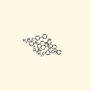 Cc1ccc(C)c(N(c2cc(-c3ccccc3)ccc2C)c2cc(C(C)C)c3ccc4c(N(c5cc(C)ccc5C)c5cc(-c6ccccc6)ccc5C)cc(C(C)C)c5c4c3c2CC5)c1